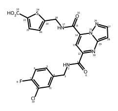 O=C(NCc1ccc(F)c(Cl)c1)c1cc(C(=O)NCc2ccc(C(=O)O)s2)n2nccc2n1